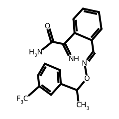 CC(O/N=C/c1ccccc1C(=N)C(N)=O)c1cccc(C(F)(F)F)c1